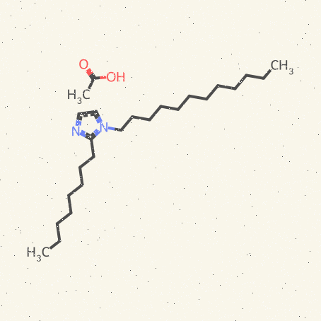 CC(=O)O.CCCCCCCCCCCCn1ccnc1CCCCCCCC